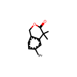 CC(C)c1ccc2c(c1)C(C)(C)C(=O)OC2